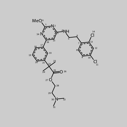 COc1nc(NCCc2ccc(Cl)cc2Cl)cc(-c2cccc(C(C)(C)C(=O)OCCN(C)C)c2)n1